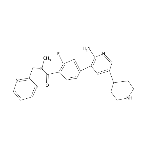 CN(Cc1ncccn1)C(=O)c1ccc(-c2cc(C3CCNCC3)cnc2N)cc1F